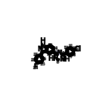 CN/C(=N\C(=N)c1ccc(Cl)cc1)c1ccc2[nH]nc(-c3ccc(F)cc3)c2c1